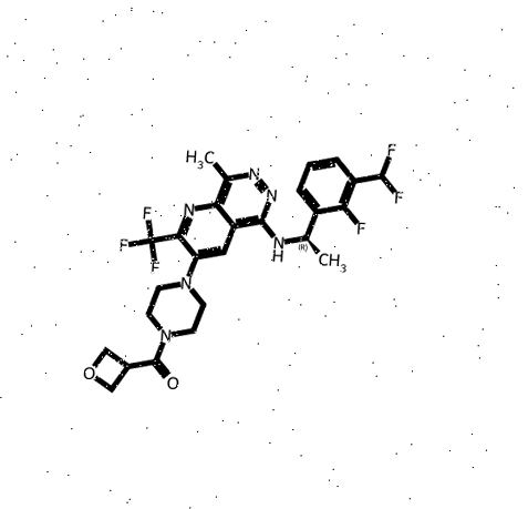 Cc1nnc(N[C@H](C)c2cccc(C(F)F)c2F)c2cc(N3CCN(C(=O)C4COC4)CC3)c(C(F)(F)F)nc12